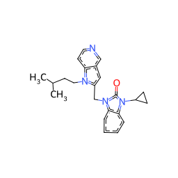 CC(C)CCn1c(Cn2c(=O)n(C3CC3)c3ccccc32)cc2cnccc21